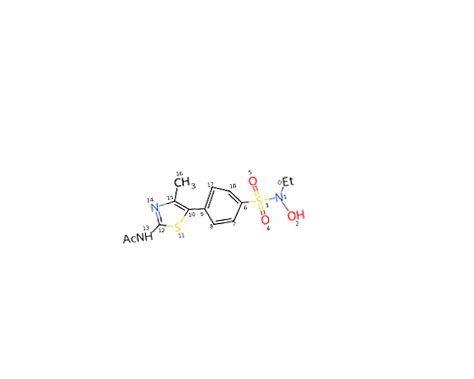 CCN(O)S(=O)(=O)c1ccc(-c2sc(NC(C)=O)nc2C)cc1